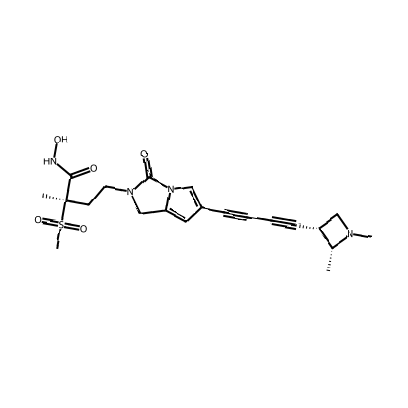 C[C@@H]1[C@H](C#CC#Cc2cc3n(c2)C(=O)N(CC[C@](C)(C(=O)NO)S(C)(=O)=O)C3)CN1C